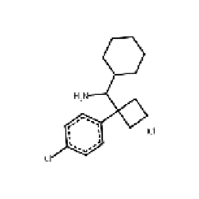 Cl.NC(C1CCCCC1)C1(c2ccc(Cl)cc2)CCC1